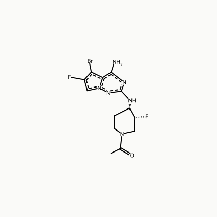 CC(=O)N1CC[C@H](Nc2nc(N)c3c(Br)c(F)cn3n2)[C@H](F)C1